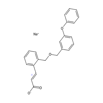 O=C([O-])/C=C/c1ccccc1COCc1cccc(Oc2ccccc2)c1.[Na+]